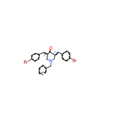 O=C1/C(=C/c2ccc(Br)cc2)CN(Cc2ccccc2)C/C1=C\c1ccc(Br)cc1